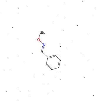 CC(C)(C)O/N=C/c1cc[c]cc1